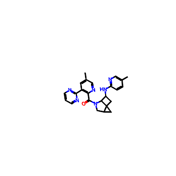 Cc1ccc(NC2CC34CC3CN(C(=O)c3ncc(C)cc3-c3ncccn3)C24)nc1